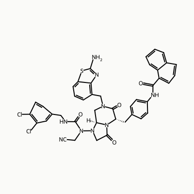 N#CCN(C(=O)NCc1ccc(Cl)c(Cl)c1)N1CC(=O)N2[C@@H](Cc3ccc(NC(=O)c4cccc5ccccc45)cc3)C(=O)N(Cc3cccc4sc(N)nc34)C[C@@H]21